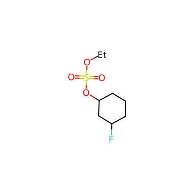 CCOS(=O)(=O)OC1CCCC(F)C1